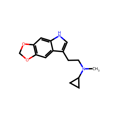 CN(CCc1c[nH]c2cc3c(cc12)OCO3)C1CC1